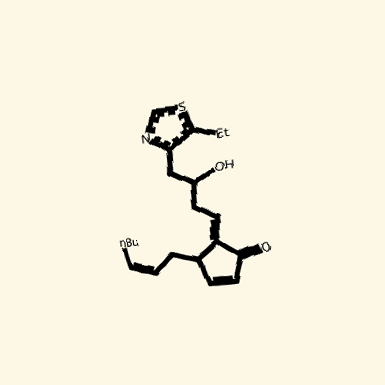 CCCC/C=C\CC1C=CC(=O)/C1=C/CC(O)Cc1ncsc1CC